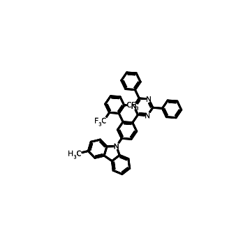 Cc1ccc2c(c1)c1ccccc1n2-c1ccc(-c2nc(-c3ccccc3)nc(-c3ccccc3)n2)c(-c2c(C(F)(F)F)cccc2C(F)(F)F)c1